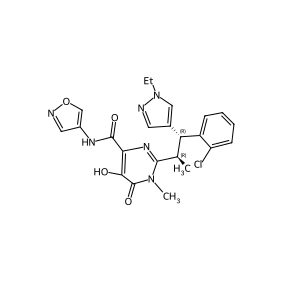 CCn1cc([C@H](c2ccccc2Cl)[C@@H](C)c2nc(C(=O)Nc3cnoc3)c(O)c(=O)n2C)cn1